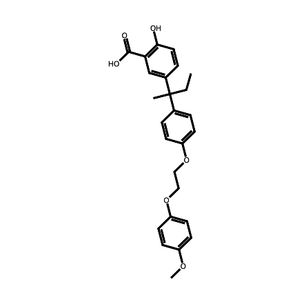 CCC(C)(c1ccc(OCCOc2ccc(OC)cc2)cc1)c1ccc(O)c(C(=O)O)c1